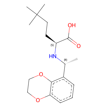 C[C@@H](N[C@@H](CCC(C)(C)C)C(=O)O)c1cccc2c1OCCO2